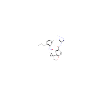 CC(C)(C)n1cc(NC(O)c2ccc3c(c2)[C@]2(CCO3)C[C@H]2C(=O)Nc2cc(C#N)ccc2CCCC(=O)O)cn1